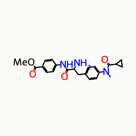 COC(=O)c1ccc(NC(=O)C(N)Cc2ccc(N(C)C(=O)C3CC3)cc2)cc1